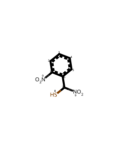 O=[N+]([O-])c1ccccc1C(S)[N+](=O)[O-]